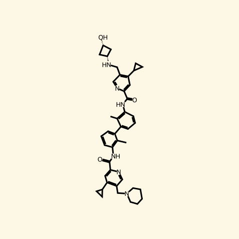 Cc1c(NC(=O)c2cc(C3CC3)c(CN[C@H]3C[C@@H](O)C3)cn2)cccc1-c1cccc(NC(=O)c2cc(C3CC3)c(CN3CCCCC3)cn2)c1C